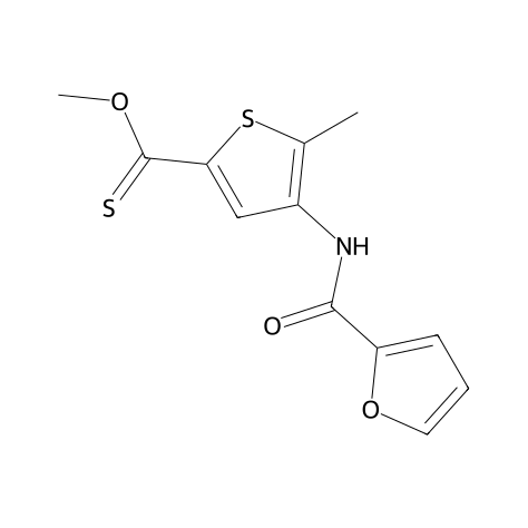 COC(=S)c1cc(NC(=O)c2ccco2)c(C)s1